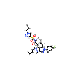 C=N/C(=C\C=C/C)C(=O)[C@]12Cc3cnn(-c4ccc(F)cc4)c3C=C1CCN(S(=O)(=O)c1cnn(CCC)c1)C2